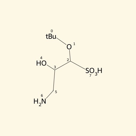 CC(C)(C)OC(C(O)CN)S(=O)(=O)O